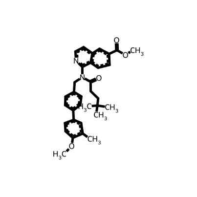 COC(=O)c1ccc2c(N(Cc3ccc(-c4ccc(OC)c(C)c4)cc3)C(=O)CCC(C)(C)C)nccc2c1